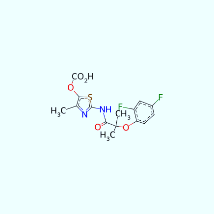 Cc1nc(NC(=O)C(C)(C)Oc2ccc(F)cc2F)sc1OC(=O)O